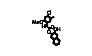 COc1cc(Cl)c(C)cc1NC(=O)Oc1cc2ccccc2cc1O